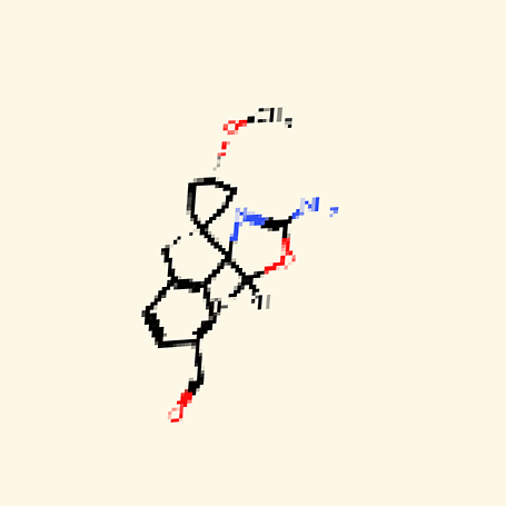 [2H]C1([2H])OC(N)=NC12c1cc(C=O)ccc1C[C@]21CC[C@@H](OC)CC1